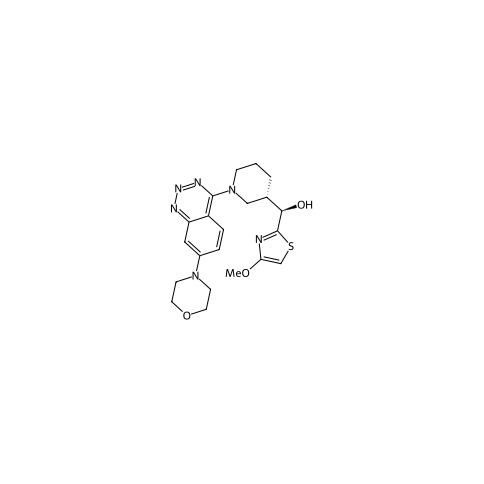 COc1csc([C@H](O)[C@H]2CCCN(c3nnnc4cc(N5CCOCC5)ccc34)C2)n1